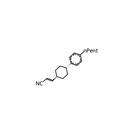 CCCCCc1ccc([C@H]2CC[C@H](C=CC#N)CC2)cc1